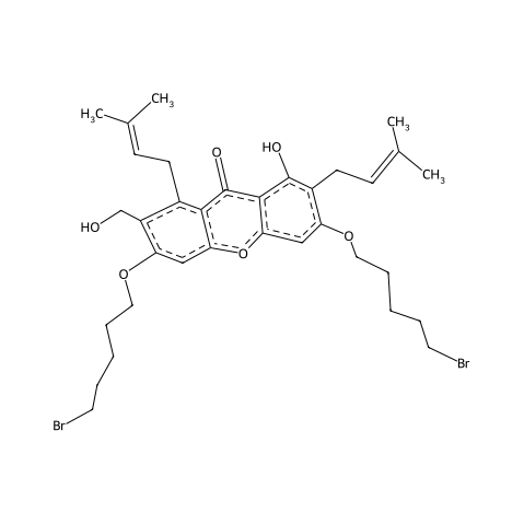 CC(C)=CCc1c(OCCCCCBr)cc2oc3cc(OCCCCCBr)c(CO)c(CC=C(C)C)c3c(=O)c2c1O